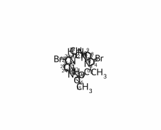 CC(C)c1cc(Br)c2ccc(N)nc2n1.CCOC(=O)c1cn2c(ccc3c(Br)cc(C(C)C)nc32)n1